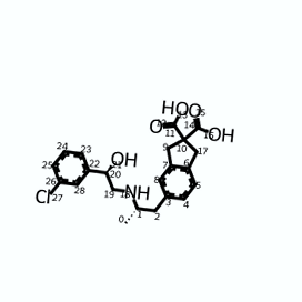 C[C@@H](Cc1ccc2c(c1)CC(C(=O)O)(C(=O)O)C2)NC[C@H](O)c1cccc(Cl)c1